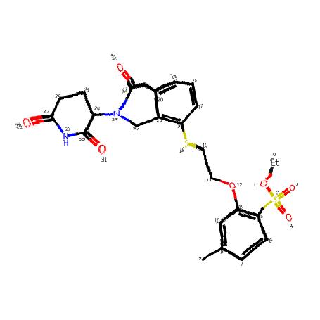 CCOS(=O)(=O)c1ccc(C)cc1OCCSc1cccc2c1CN(C1CCC(=O)NC1=O)C2=O